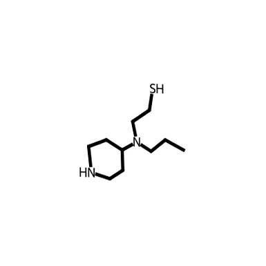 CCCN(CCS)C1CCNCC1